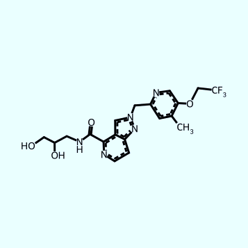 Cc1cc(Cn2cc3c(C(=O)NCC(O)CO)nccc3n2)ncc1OCC(F)(F)F